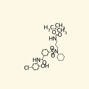 CC(C)(C)OC(=O)NCCCN(C1CCCCC1)S(=O)(=O)c1cccc(C(=O)Nc2cc(Cl)ccc2O)c1